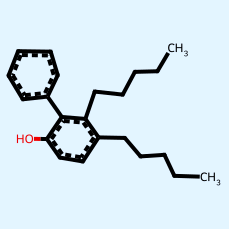 CCCCCc1ccc(O)c(-c2ccccc2)c1CCCCC